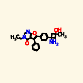 CCn1cnc2oc(-c3ccc([C@]4(N)C[C@](C)(O)C4)cc3)c(-c3ccccc3)c2c1=O